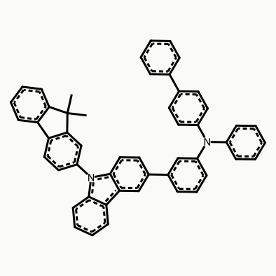 CC1(C)c2ccccc2-c2ccc(-n3c4ccccc4c4cc(-c5cccc(N(c6ccccc6)c6ccc(-c7ccccc7)cc6)c5)ccc43)cc21